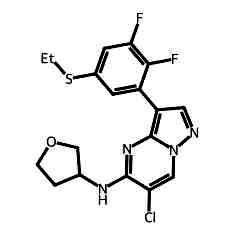 CCSc1cc(F)c(F)c(-c2cnn3cc(Cl)c(NC4CCOC4)nc23)c1